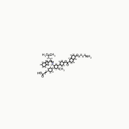 Cc1cc(-c2ccc(C#CC(=O)O)cc2)c(/C=N/N(CCC(C)C)c2nc3ccccc3s2)cc1-c1ccc(OC(=O)c2ccc3cc(OCCCCN)ccc3c2)cc1